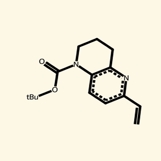 C=Cc1ccc2c(n1)CCCN2C(=O)OC(C)(C)C